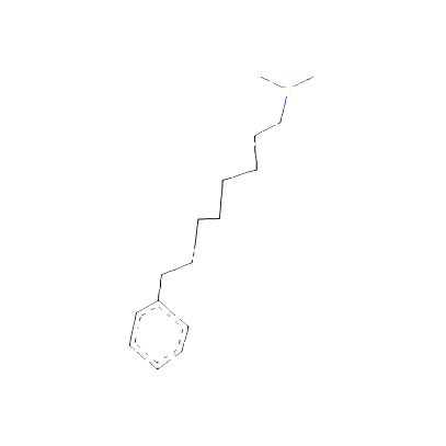 CN(C)CCCCCCCCc1ccccc1